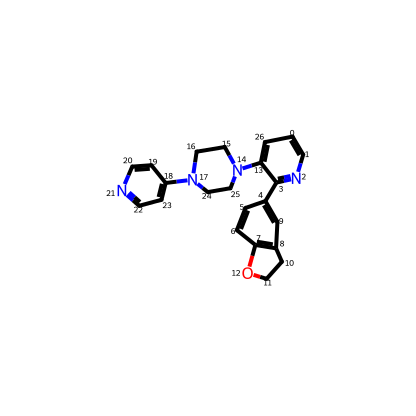 c1cnc(-c2ccc3c(c2)CCO3)c(N2CCN(c3ccncc3)CC2)c1